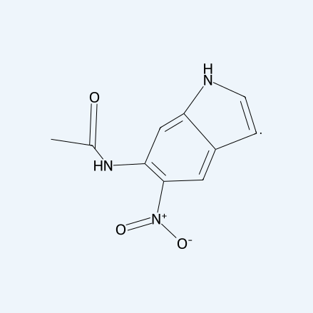 CC(=O)Nc1cc2[nH]c[c]c2cc1[N+](=O)[O-]